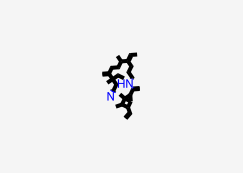 C=CC1C(C)C2(C)C(C(=C)NCCC/C(=C\C)C(C)CCC(=C)C(C)(CC)CC#N)C12